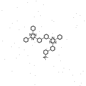 C=P(C)(C)c1cccc(-c2cccc(-c3nc(-c4ccccc4)nc(-c4cccc(-c5cccc(-c6nc(-c7ccccc7)nc(-c7ccccc7)n6)c5)c4)n3)c2)c1